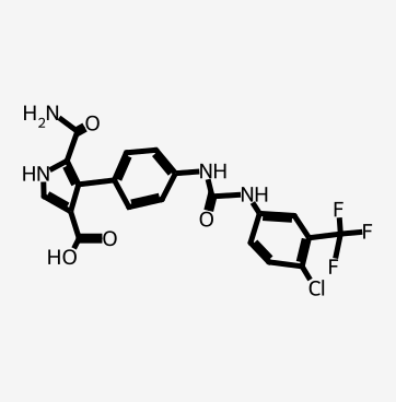 NC(=O)c1[nH]cc(C(=O)O)c1-c1ccc(NC(=O)Nc2ccc(Cl)c(C(F)(F)F)c2)cc1